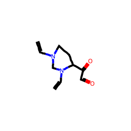 C=CN1CCC(C(=O)C=O)N(C=C)C1